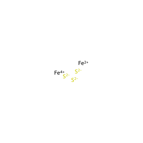 [Fe+2].[Fe+4].[S-2].[S-2].[S-2]